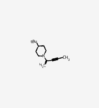 C=C(C#CC)N1CCC(C(C)(C)C)CC1